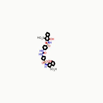 O=C(Nc1ccc(S(=O)(=O)Nc2cc(S(=O)(=O)O)c3ccccc3c2O)cc1)Nc1ccc(S(=O)(=O)Nc2cc(S(=O)(=O)O)c3ccccc3c2O)cc1